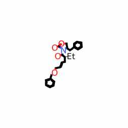 CC[C@H](CC=CCOCc1ccccc1)C(=O)N1C(=O)OCC1Cc1ccccc1